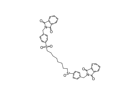 O=C1c2ccccc2C(=O)N1Cc1ccc([S+]([O-])CCCCCCCCS(=O)(=O)c2ccc(CN3C(=O)c4ccccc4C3=O)cc2)cc1